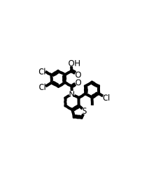 Cc1c(Cl)cccc1C1c2sccc2CCN1C(=O)c1cc(Cl)c(Cl)cc1C(=O)O